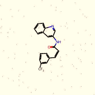 O=C(/C=C\c1cccc(C(F)(F)F)c1)Nc1cnc2ccccc2c1